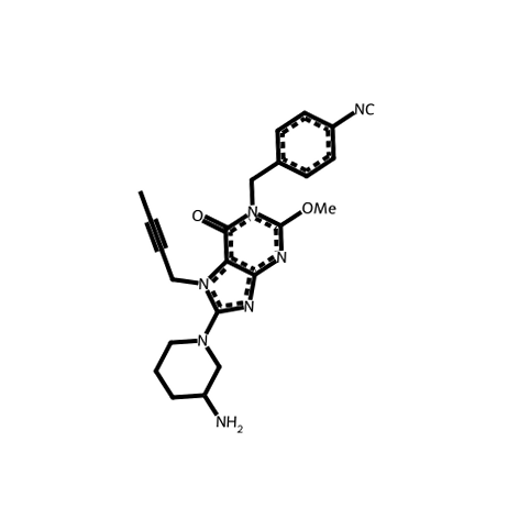 [C-]#[N+]c1ccc(Cn2c(OC)nc3nc(N4CCCC(N)C4)n(CC#CC)c3c2=O)cc1